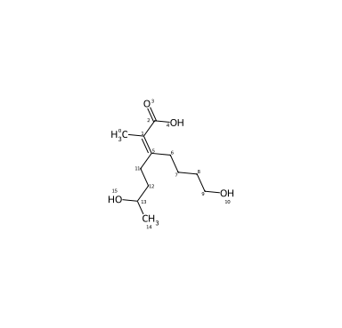 CC(C(=O)O)=C(CCCCO)CCC(C)O